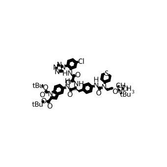 CC(C)(C)OC(=O)c1cc2cc(NC(=O)[C@H](Cc3ccc(NC(=O)N(CCO[Si](C)(C)C(C)(C)C)C4=CCSC=C4)cc3)NC(=O)C(=O)Nc3cc(Cl)ccc3-n3cnnn3)ccc2n1C(=O)OC(C)(C)C